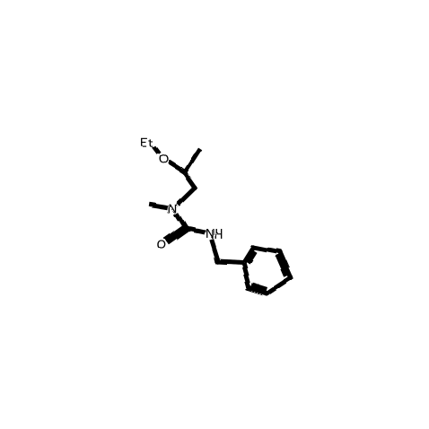 CCOC(C)CN(C)C(=O)NCc1ccccc1